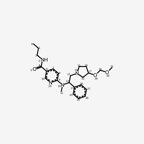 CCCNC(=O)c1ccc(N(C)C(CN2CCC(OCOC)C2)c2ccccc2)nc1